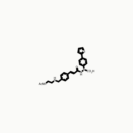 CC(=O)NCCNCc1ccc(C=CC(=O)NN(C(=O)O)c2ccc(-c3cccs3)cc2)cc1